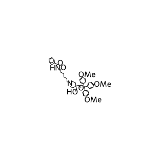 COc1ccc(C(OCC2(CO)CCN(CCCCCC(=O)NC(=O)C3CC4C=CC3C4)CC2)(c2ccc(OC)cc2)c2ccc(OC)cc2)cc1